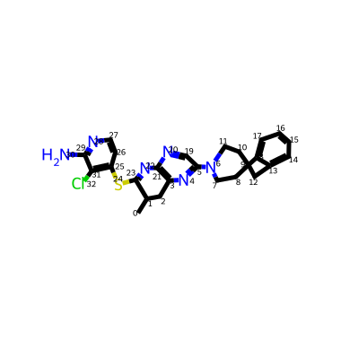 CC1Cc2nc(N3CCC4(CC3)Cc3ccccc34)cnc2N=C1Sc1ccnc(N)c1Cl